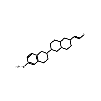 CCCCCCc1ccc2c(c1)CCC(C1CCC3CC(C=CF)CCC3C1)C2